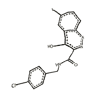 O=C(NCc1ccc(Cl)cc1)c1nnc2ccc(I)cc2c1O